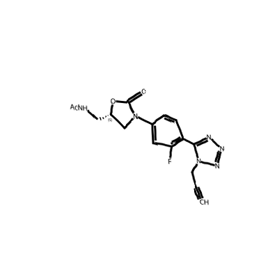 C#CCn1nnnc1-c1ccc(N2C[C@H](CNC(C)=O)OC2=O)cc1F